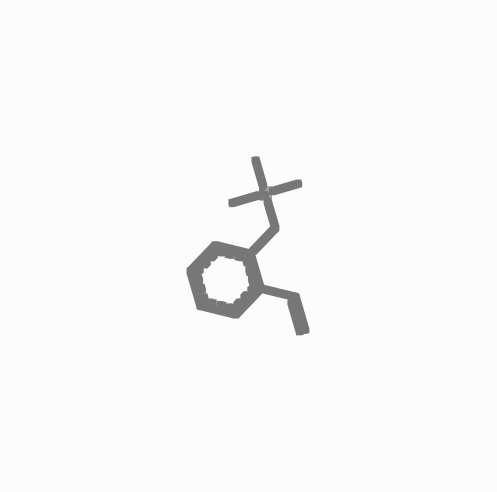 C=Cc1ccccc1C[Si](C)(C)C